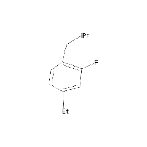 CCc1ccc(CC(C)C)c(F)c1